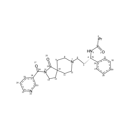 CC(C)C(=O)N[C@@H](CCN1CCC2(CC1)CCN(C(=O)c1cccnc1)C2=O)c1ccccc1